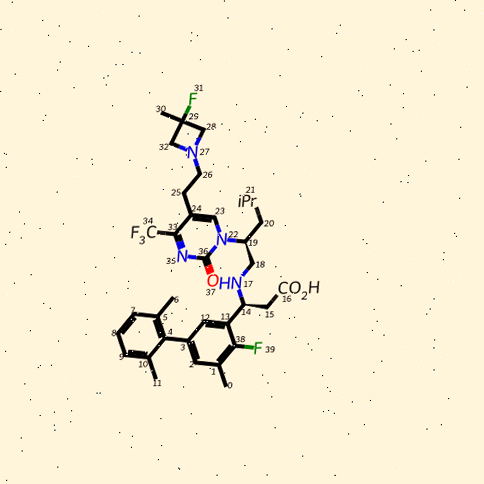 Cc1cc(-c2c(C)cccc2C)cc([C@H](CC(=O)O)NC[C@H](CC(C)C)n2cc(CCN3CC(C)(F)C3)c(C(F)(F)F)nc2=O)c1F